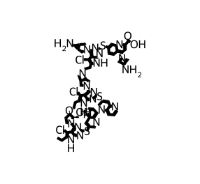 CCc1[nH]c2nc(Sc3cnc4cccnc4c3)nc(N3CC[C@H](OCCc4[nH]c5nc(Sc6cnc7cccnc7c6)nc(N6CC7CN(CCc8[nH]c9nc(Sc%10ccc%11c(N%12CC(N)C%12)cc(C(=O)O)nc%11c%10)nc(N%10CC%11C(N)C%11C%10)c9c8Cl)C7C6)c5c4Cl)[C@H]3CO)c2c1Cl